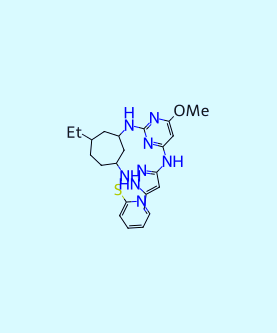 CCC1CCC(NSc2ccccn2)CC(Nc2nc(Nc3cc(C)[nH]n3)cc(OC)n2)C1